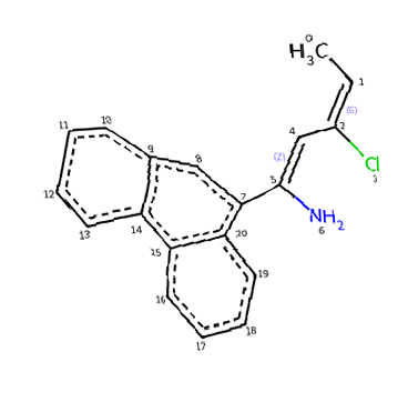 C/C=C(Cl)\C=C(/N)c1cc2ccccc2c2ccccc12